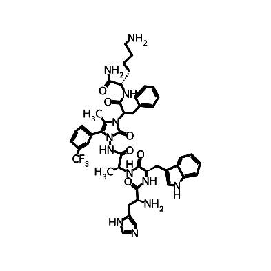 Cc1c(-c2cccc(C(F)(F)F)c2)n(NC(=O)[C@H](C)NC(=O)[C@@H](Cc2c[nH]c3ccccc23)NC(=O)[C@@H](N)Cc2cnc[nH]2)c(=O)n1C(Cc1ccccc1)C(=O)N[C@@H](CCCCN)C(N)=O